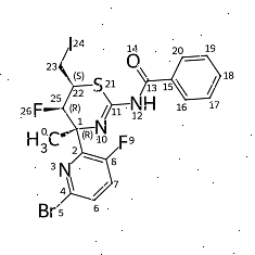 C[C@]1(c2nc(Br)ccc2F)N=C(NC(=O)c2ccccc2)S[C@H](CI)[C@@H]1F